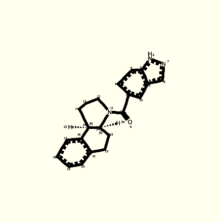 O=C(c1ccc2[nH]ncc2c1)N1CCC[C@@H]2c3ccccc3CC[C@@H]21